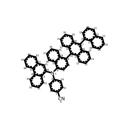 N#Cc1ccc(N(c2ccc(-c3c4ccccc4c(-c4cccc5ccccc45)c4ccccc34)c3ccccc23)c2cc3ccccc3c3ccccc23)cc1